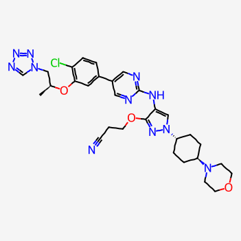 C[C@@H](Cn1cnnn1)Oc1cc(-c2cnc(Nc3cn([C@H]4CC[C@H](N5CCOCC5)CC4)nc3OCCC#N)nc2)ccc1Cl